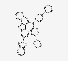 c1ccc(-c2ccc(N(c3ccc(-c4ccccc4)cc3)c3cc4ccccc4c4oc5cc(-c6nc7ccccc7o6)ccc5c34)cc2)cc1